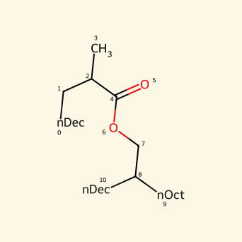 CCCCCCCCCCCC(C)C(=O)OCC(CCCCCCCC)CCCCCCCCCC